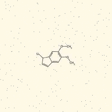 [Li][CH]1C=Cc2cc(OC)c(OC)cc21